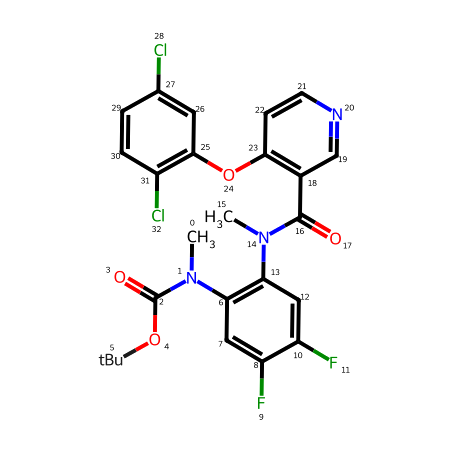 CN(C(=O)OC(C)(C)C)c1cc(F)c(F)cc1N(C)C(=O)c1cnccc1Oc1cc(Cl)ccc1Cl